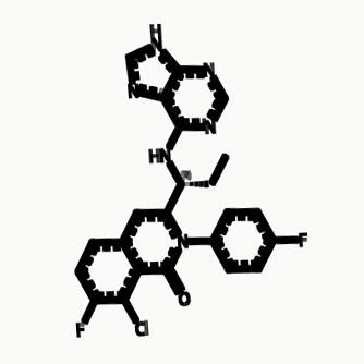 CC[C@@H](Nc1ncnc2[nH]cnc12)c1cc2ccc(F)c(Cl)c2c(=O)n1-c1ccc(F)cc1